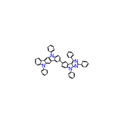 c1ccc(-c2nc(-c3ccccc3)c3c4cc(-c5ccc6c(c5)c5cc7c(cc5n6-c5ccccc5)c5ccccc5n7-c5ccccc5)ccc4n(-c4ccccc4)c3n2)cc1